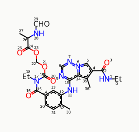 CCNC(=O)c1cn2ncnc(Nc3cc(C(=O)N(CC)C(=O)OCOC(=O)C(C)NC=O)ccc3C)c2c1C